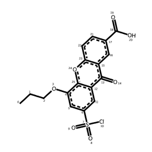 CCCOc1cc(S(=O)(=O)Cl)cc2c(=O)c3cc(C(=O)O)ccc3oc12